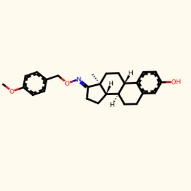 COc1ccc(CON=C2CC[C@H]3[C@@H]4CCc5cc(O)ccc5[C@H]4CC[C@]23C)cc1